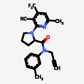 C#CCN(C(=O)C1CCCN1c1nc(C)cc(C(F)(F)F)c1C#N)c1cccc(C)c1